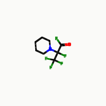 O=C(F)C(F)(N1CCCCC1)C(F)(F)F